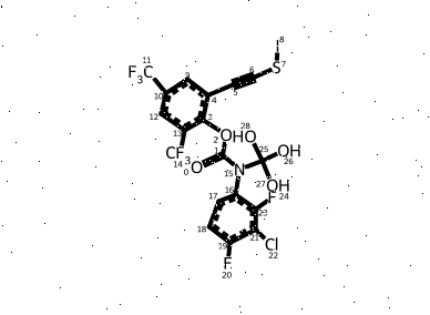 O=C(Oc1c(C#CSI)cc(C(F)(F)F)cc1C(F)(F)F)N(c1ccc(F)c(Cl)c1F)C(O)(O)O